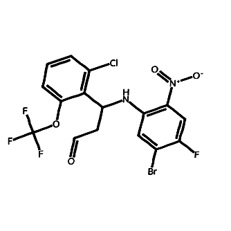 O=CCC(Nc1cc(Br)c(F)cc1[N+](=O)[O-])c1c(Cl)cccc1OC(F)(F)F